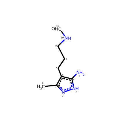 Cc1n[nH]c(N)c1CCCNC=O